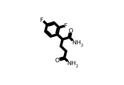 NC(=O)CCC(C(N)=O)c1ccc(F)cc1F